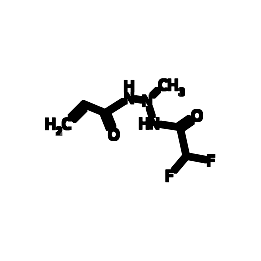 C=CC(=O)NN(C)NC(=O)C(F)F